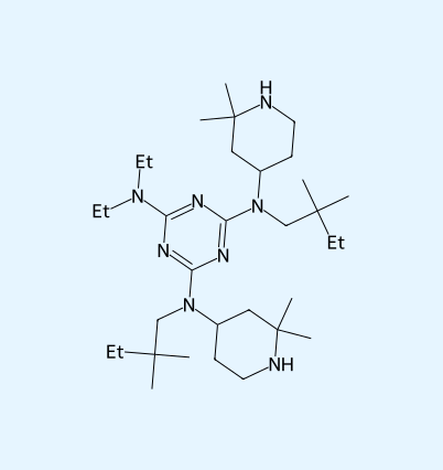 CCN(CC)c1nc(N(CC(C)(C)CC)C2CCNC(C)(C)C2)nc(N(CC(C)(C)CC)C2CCNC(C)(C)C2)n1